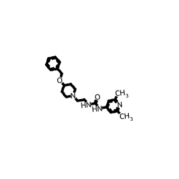 Cc1cc(NC(=O)NCCN2CCC(OCc3ccccc3)CC2)cc(C)n1